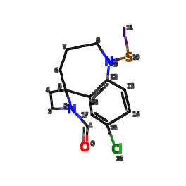 O=CN1CCC12CCCN(SI)c1ccc(Cl)cc12